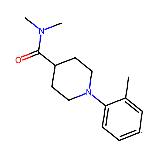 Cc1c[c]ccc1N1CCC(C(=O)N(C)C)CC1